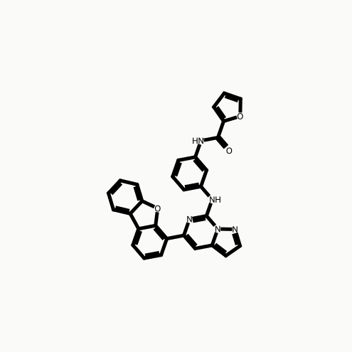 O=C(Nc1cccc(Nc2nc(-c3cccc4c3oc3ccccc34)cc3ccnn23)c1)c1ccco1